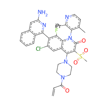 C=CC(=O)N1CCN(c2c(S(C)(=O)=O)c(=O)n(-c3c(C)ccnc3C(C)C)c3c(F)c(-c4nc(N)cc5ccccc45)c(Cl)cc23)CC1